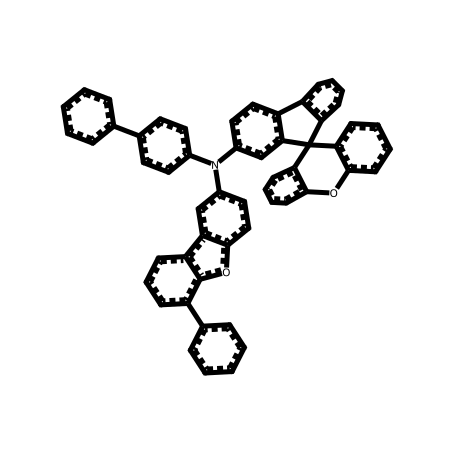 c1ccc(-c2ccc(N(c3ccc4c(c3)C3(c5ccccc5Oc5ccccc53)c3ccccc3-4)c3ccc4oc5c(-c6ccccc6)cccc5c4c3)cc2)cc1